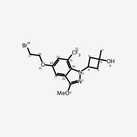 COc1nn(C2CC(C)(O)C2)c2c(C(F)(F)F)cc(OCCBr)cc12